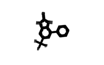 O=c1[nH]c2cc(C(F)(F)F)cc(-c3ccccc3)c2[nH]1